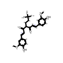 COc1cc(/C=C/C(=O)C(CCC(F)(F)F)C(=O)/C=C/c2ccc(O)c(OC)c2)ccc1O